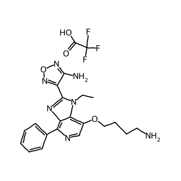 CCn1c(-c2nonc2N)nc2c(-c3ccccc3)ncc(OCCCCN)c21.O=C(O)C(F)(F)F